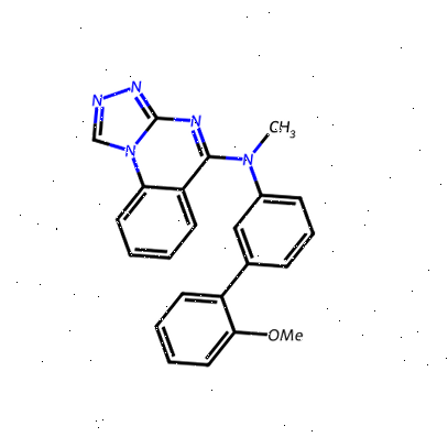 COc1ccccc1-c1cccc(N(C)c2nc3nncn3c3ccccc23)c1